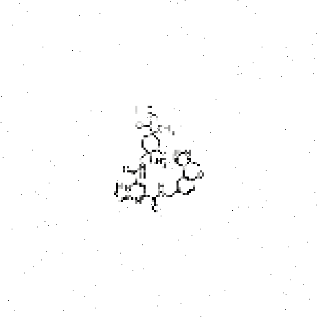 COC(=O)C1(C)CCC(C)(CNC(=O)c2cc(C(=O)NCc3ccc4c(c3)-n3cnnc3CO4)nc3ccnn23)C(C)C1